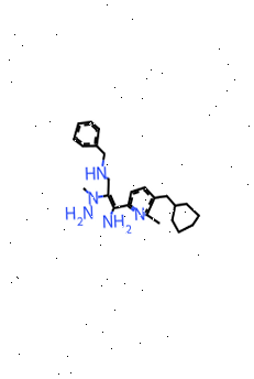 Cc1nc(/C(N)=C(\CNCc2ccccc2)N(C)N)ccc1CC1CCCCC1